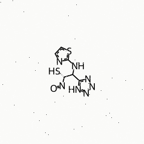 O=N[C@H](S)C(Nc1nccs1)c1nnn[nH]1